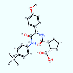 COc1ccc(C(NC(=O)[C@@H]2CCC[C@@H]2C(=O)O)C(=O)Nc2ccc([Si](C)(C)C)cc2)cc1